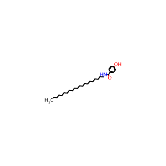 CCCCCCCCCCCCCCCCCCCCCNC(=O)c1ccc(O)cc1